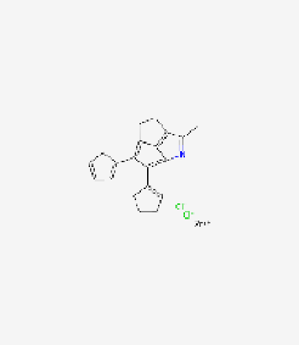 CC1=NC2=C(C3=CC=CC3)C(C3=CC=CC3)=C3CCC1=C32.[Cl-].[Cl-].[Zr+2]